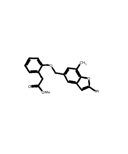 COC(=O)Cc1ccccc1OCc1cc(C)c2oc(C(C)C)cc2c1